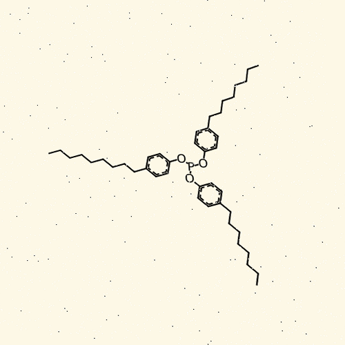 CCCCCCCCCc1ccc(OP(Oc2ccc(CCCCCCCC)cc2)Oc2ccc(CCCCCCCC)cc2)cc1